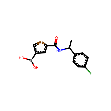 CC(NC(=O)c1cc(B(O)O)cs1)c1ccc(F)cc1